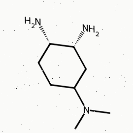 CN(C)C1CC[C@H](N)[C@H](N)C1